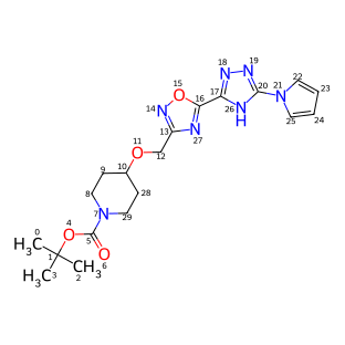 CC(C)(C)OC(=O)N1CCC(OCc2noc(-c3nnc(-n4cccc4)[nH]3)n2)CC1